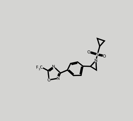 O=S(=O)(C1CC1)N1CC1c1ccc(-c2noc(C(F)(F)F)n2)cc1